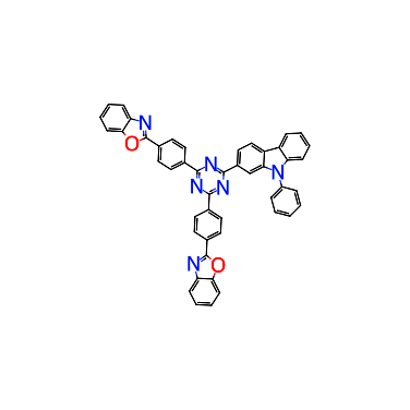 c1ccc(-n2c3ccccc3c3ccc(-c4nc(-c5ccc(-c6nc7ccccc7o6)cc5)nc(-c5ccc(-c6nc7ccccc7o6)cc5)n4)cc32)cc1